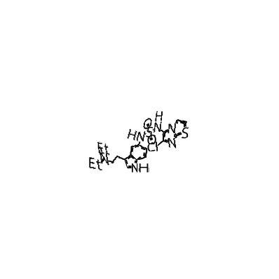 CCN(CC)CCc1c[nH]c2ccc(NS(=O)(=O)Nc3c(Cl)nc4sccn34)cc12